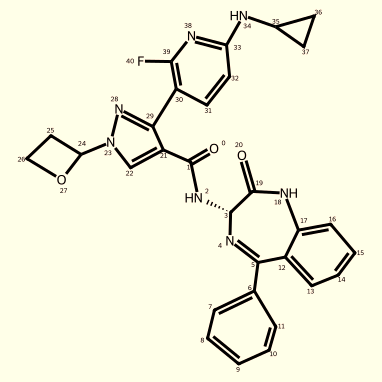 O=C(N[C@H]1N=C(c2ccccc2)c2ccccc2NC1=O)c1cn(C2CCO2)nc1-c1ccc(NC2CC2)nc1F